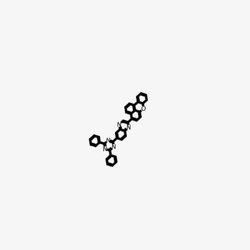 C1=CCC2Oc3ccc(-c4cnc5cc(-c6nc(-c7ccccc7)nc(-c7ccccc7)n6)ccc5n4)c4cccc(c34)C2=C1